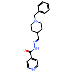 O=C(N/N=C/C1CCN(Cc2ccccc2)CC1)c1ccncc1